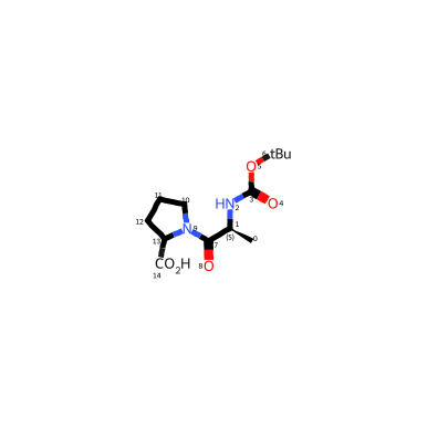 C[C@H](NC(=O)OC(C)(C)C)C(=O)N1CCCC1C(=O)O